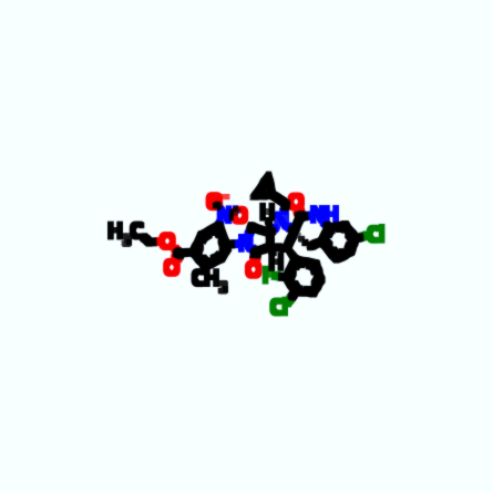 CCOC(=O)c1cc([N+](=O)[O-])c(N2C[C@H]3[C@@H](C2=O)[C@H](c2cccc(Cl)c2F)[C@@]2(Cc4ccc(Cl)cc4NC2=O)N3CC2CC2)cc1C